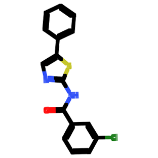 O=C(Nc1ncc(-c2ccccc2)s1)c1cccc(Cl)c1